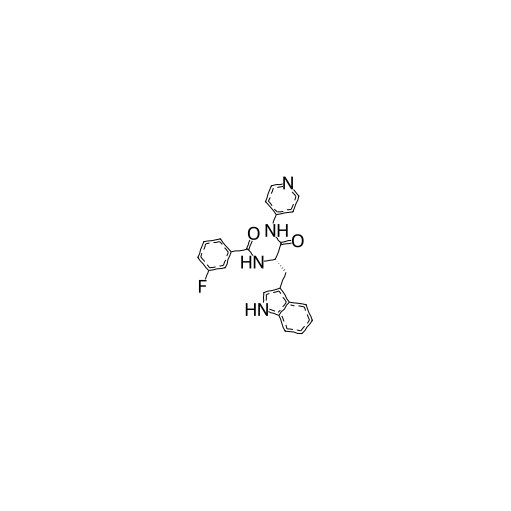 O=C(N[C@@H](Cc1c[nH]c2ccccc12)C(=O)Nc1ccncc1)c1cccc(F)c1